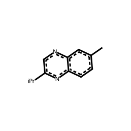 Cc1ccc2nc(C(C)C)cnc2c1